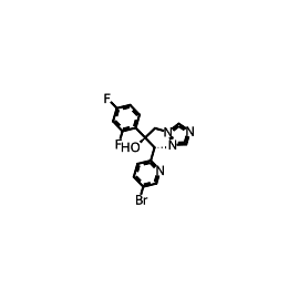 C[C@H](c1ccc(Br)cn1)[C@@](O)(Cn1cncn1)c1ccc(F)cc1F